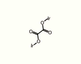 O=C([O][Ir])C(=O)[O][Ir]